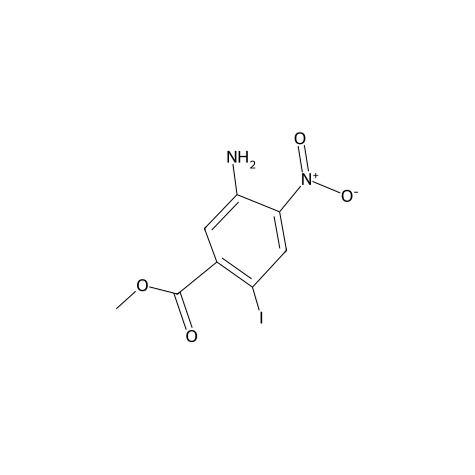 COC(=O)c1cc(N)c([N+](=O)[O-])cc1I